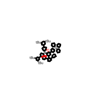 CC(C)(C)c1cc(-c2ccc3c(c2)Oc2c(-c4ccc([Si](c5ccccc5)(c5ccccc5)c5ccccc5)cc4)cc(-c4c(-c5ccccc5)cccc4-c4ccccc4)c4c2B3c2ccc(-c3cc(C(C)(C)C)cc(C(C)(C)C)c3)cc2O4)cc(C(C)(C)C)c1